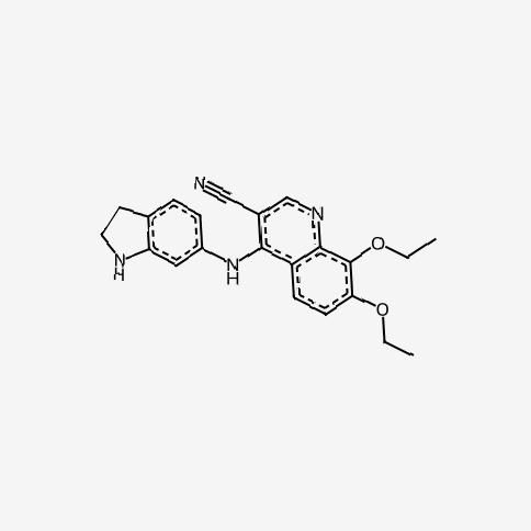 CCOc1ccc2c(Nc3ccc4c(c3)NCC4)c(C#N)cnc2c1OCC